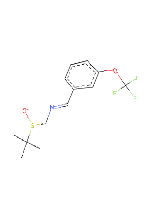 CC(C)(C)[S+]([O-])C/N=C/c1cccc(OC(F)(F)F)c1